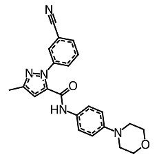 Cc1cc(C(=O)Nc2ccc(N3CCOCC3)cc2)n(-c2cccc(C#N)c2)n1